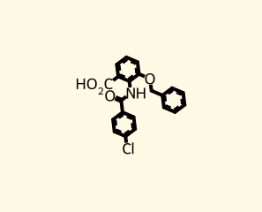 O=C(Nc1c(OCc2ccccc2)cccc1C(=O)O)c1ccc(Cl)cc1